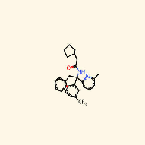 Cc1cccc(C(Cc2ccccc2)(NC(=O)CC2CCCC2)c2cccc(C(F)(F)F)c2)n1